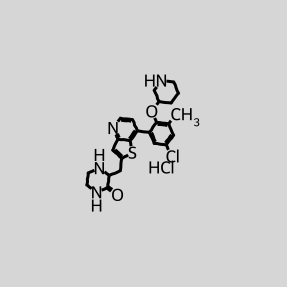 Cc1cc(Cl)cc(-c2ccnc3cc(CC4NCCNC4=O)sc23)c1OC1CCCNC1.Cl